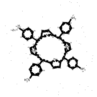 Nc1ccc(-c2c3nc(c(-c4ccc(N)cc4)c4ccc([nH]4)c(-c4ccc(N)cc4)c4nc(c(-c5ccc(N)cc5)c5ccc2[nH]5)C=C4)C=C3)cc1.[Zn+2]